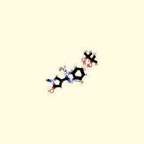 CC(C)n1c(C2CC(=O)N(C)C2)nc2c(F)cc(B3OC(C)(C)C(C)(C)O3)cc21